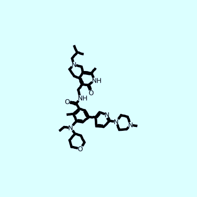 CCN(c1cc(-c2ccc(N3CCN(C)CC3)nc2)cc(C(=O)NCc2c3c(c(C)[nH]c2=O)CN(CC(C)C)CC3)c1C)C1CCOCC1